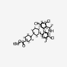 Cc1nc(N2CCC[C@H](C3CCN(C(=O)OC(C)(C)C)CC3)C2)nc(N[C@H](C)c2ccc(Cl)cc2Cl)c1Cl